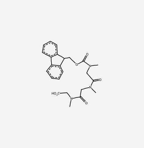 CN(CC(=O)O)C(=O)CN(C)C(=O)CN(C)C(=O)OCC1c2ccccc2-c2ccccc21